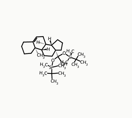 CC(C)(C)[Si](C)(C)OC(O)(O[Si](C)(C)C(C)(C)C)[C@@]12CCC[C@H]1[C@@H]1CC=C3CCCC[C@]3(C)[C@H]1CC2